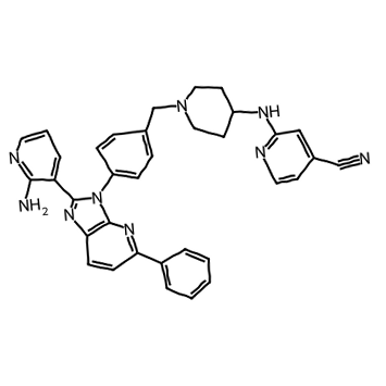 N#Cc1ccnc(NC2CCN(Cc3ccc(-n4c(-c5cccnc5N)nc5ccc(-c6ccccc6)nc54)cc3)CC2)c1